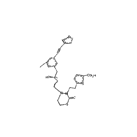 Cc1cc(C#Cc2ccsc2)cc(C[C@H](O)CCN2CCSC(=O)N2CCc2ccc(C(=O)O)s2)c1